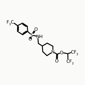 O=C(OC(C(F)(F)F)C(F)(F)F)N1CCC(CNS(=O)(=O)c2ccc(C(F)(F)F)cc2)CC1